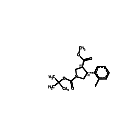 COC(=O)[C@@H]1CN(C(=O)OC(C)(C)C)C[C@H]1c1ccccc1F